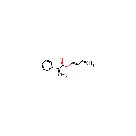 C=CC=COC(=O)C(=C)c1ccccc1